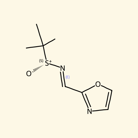 CC(C)(C)[S@@+]([O-])/N=C/c1ncco1